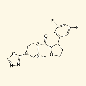 O=C([C@H]1CCN(c2nnco2)C[C@H]1F)N1OCCC1c1cc(F)cc(F)c1